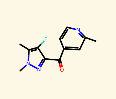 Cc1cc(C(=O)c2nn(C)c(C)c2F)ccn1